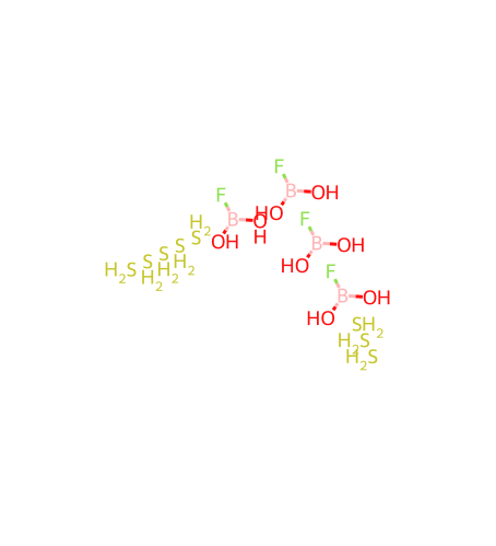 OB(O)F.OB(O)F.OB(O)F.OB(O)F.S.S.S.S.S.S.S.S